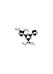 Cc1ncn(-c2nc(N(C)C)nc(-n3ccnc3)n2)c1C